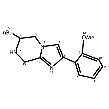 CCCCC1Cn2cc(-c3ccccc3OC)nc2CN1